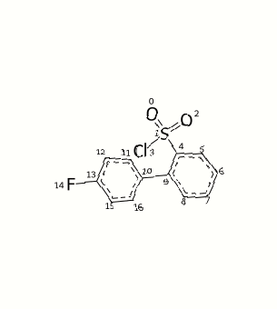 O=S(=O)(Cl)c1ccccc1-c1ccc(F)cc1